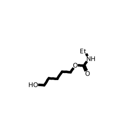 CCNC(=O)OCCCCCO